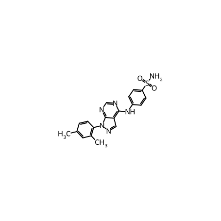 Cc1ccc(-n2ncc3c(Nc4ccc(S(N)(=O)=O)cc4)ncnc32)c(C)c1